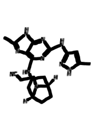 Cc1cc(Nc2nc(N[C@@H]3C[C@H]4CC[C@@H](C3)N4CCC#N)c3nc(C)[nH]c3n2)n[nH]1